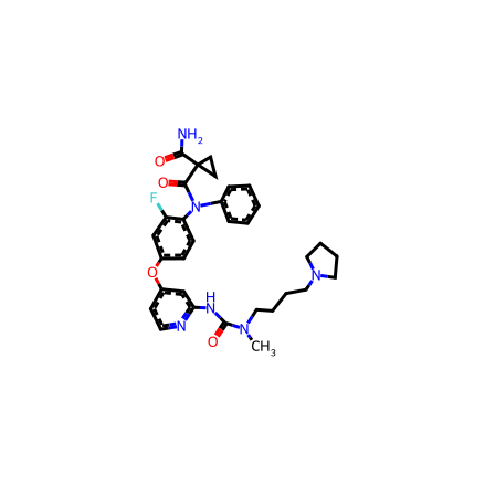 CN(CCCCN1CCCC1)C(=O)Nc1cc(Oc2ccc(N(C(=O)C3(C(N)=O)CC3)c3ccccc3)c(F)c2)ccn1